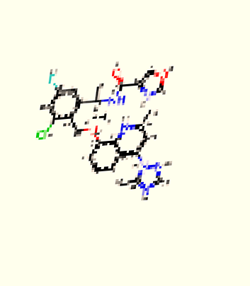 B[C@@](C)(NC(=O)c1cocn1)c1cc(F)cc(Cl)c1COc1cccc2c(-n3ncnc3C)cc(C)nc12